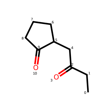 CCC(=O)CC1CCCC1=O